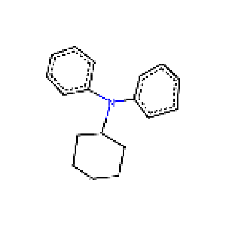 [CH]1CCC(N(c2ccccc2)c2ccccc2)CC1